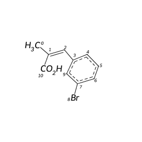 C/C(=C/c1cccc(Br)c1)C(=O)O